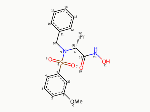 COc1cccc(S(=O)(=O)N(Cc2ccccc2)[C@@H](C(=O)NO)C(C)C)c1